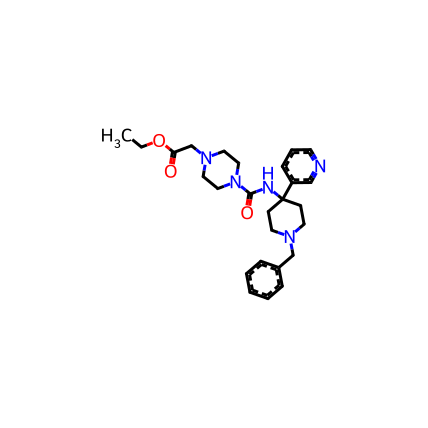 CCOC(=O)CN1CCN(C(=O)NC2(c3cccnc3)CCN(Cc3ccccc3)CC2)CC1